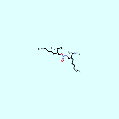 CCCCCC(CO[N+](=O)OCC(CCCCC)C(C)C)C(C)C